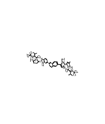 COC(=O)N[C@H](C(=O)N1CC(C)=C[C@H]1c1ncc(-c2ccc3cc(-c4ccc5nc([C@@H]6CCCN6C(=O)[C@@H](NC(=O)OC)C(C)C)[nH]c5c4)ccc3c2)[nH]1)C(C)C